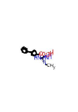 CCNC[C@H](NC(=O)c1ccc(-c2ccccc2)cc1)C(=O)NO